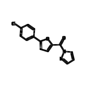 O=C(c1ccc(-c2ccc(Cl)cc2)o1)n1cccn1